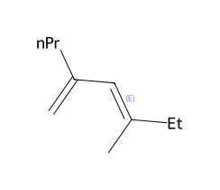 C=C(/C=C(\C)CC)CCC